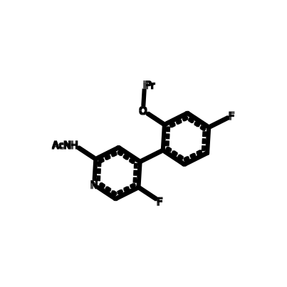 CC(=O)Nc1cc(-c2ccc(F)cc2OC(C)C)c(F)cn1